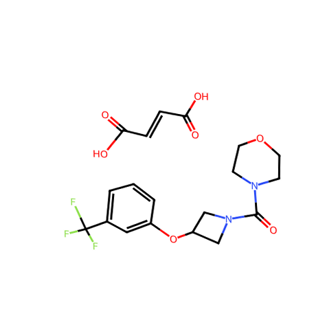 O=C(N1CCOCC1)N1CC(Oc2cccc(C(F)(F)F)c2)C1.O=C(O)C=CC(=O)O